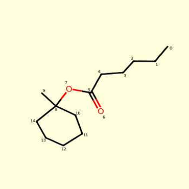 CCCCCC(=O)OC1(C)CCCCC1